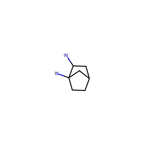 [N]C1CC2CCC1([N])C2